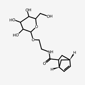 O=C(NCCOC1OC(CO)C(O)C(O)C1O)C1C[C@@H]2C=C[C@H]1C2